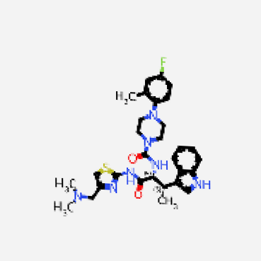 Cc1cc(F)ccc1N1CCN(C(=O)N[C@@H](C(=O)Nc2nc(CN(C)C)cs2)[C@@H](C)c2c[nH]c3ccccc23)CC1